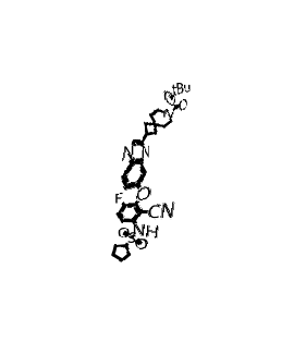 CC(C)(C)OC(=O)N1CCC2(CC1)CC(c1cnc3ccc(Oc4c(F)ccc(NS(=O)(=O)C5CCCC5)c4C#N)cc3n1)C2